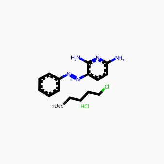 CCCCCCCCCCCCCCCl.Cl.Nc1ccc(/N=N/c2ccccc2)c(N)n1